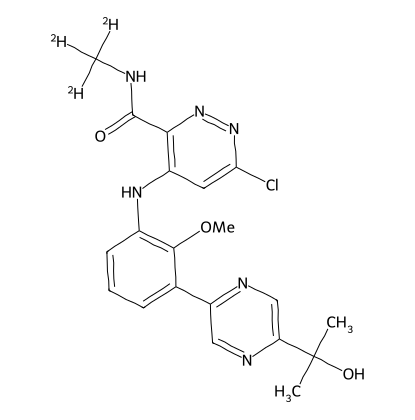 [2H]C([2H])([2H])NC(=O)c1nnc(Cl)cc1Nc1cccc(-c2cnc(C(C)(C)O)cn2)c1OC